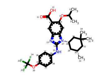 CC(C)Oc1cc2c(cc1C(=O)O)nc(Nc1ccc(OC(F)(F)F)cc1)n2[C@H]1C[C@@H](C)CC(C)(C)C1